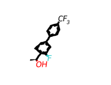 C[C@H](O)c1ccc(-c2ccc(C(F)(F)F)cc2)cc1F